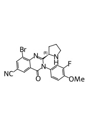 COc1ccc(-n2c([C@H]3CCCN3)nc3c(Br)cc(C#N)cc3c2=O)cc1F